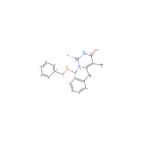 CC(C)c1c([Se]c2ccccc2)n(COCc2ccccc2)c(=S)[nH]c1=O